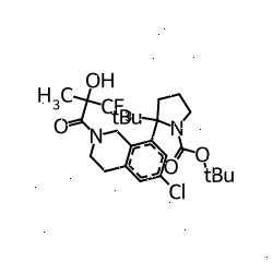 CC(C)(C)OC(=O)N1CCCC1(c1cc(Cl)cc2c1CN(C(=O)C(C)(O)C(F)(F)F)CC2)C(C)(C)C